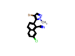 Cn1ncc(Br)c1-c1ccc2ccc(Cl)cc2c1C#N